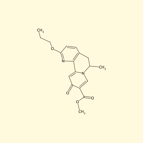 CCCOc1ccc2c(n1)-c1cc(=O)c(C(=O)OC)cn1C(C)C2